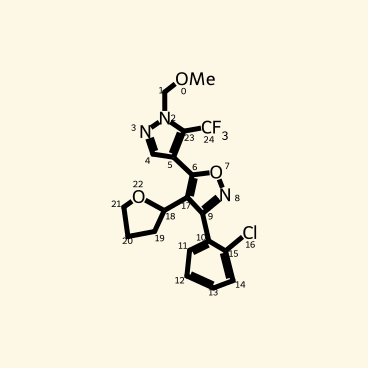 COCn1ncc(-c2onc(-c3ccccc3Cl)c2C2CCCO2)c1C(F)(F)F